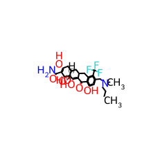 CCCCN(C)Cc1cc(O)c2c(c1C(F)(F)F)CC1C[C@H]3CC(O)=C(C(N)=O)C(=O)[C@@]3(O)C(O)=C1C2=O